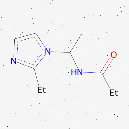 CCC(=O)NC(C)n1ccnc1CC